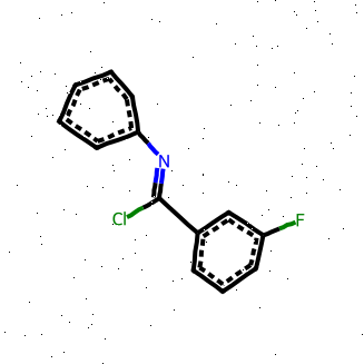 Fc1cccc(C(Cl)=Nc2ccccc2)c1